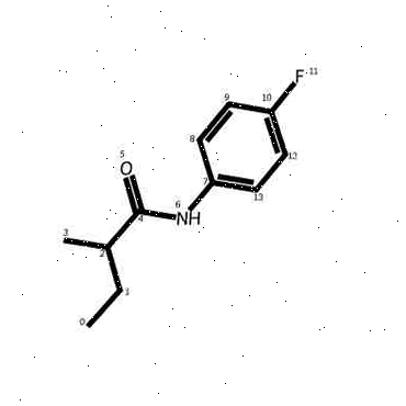 CCC(C)C(=O)Nc1ccc(F)cc1